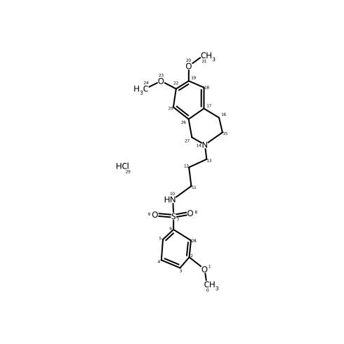 COc1cccc(S(=O)(=O)NCCCN2CCc3cc(OC)c(OC)cc3C2)c1.Cl